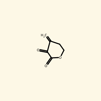 C=C1CCOC(=O)C1=O